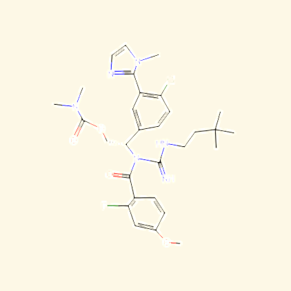 COc1ccc(C(=O)N(C(=N)NCCC(C)(C)C)[C@H](COC(=O)N(C)C)c2ccc(Cl)c(-c3nccn3C)c2)c(F)c1